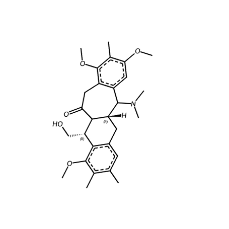 COc1cc2c(c(OC)c1C)CC(=O)C1[C@@H](Cc3cc(C)c(C)c(OC)c3[C@@H]1CO)C2N(C)C